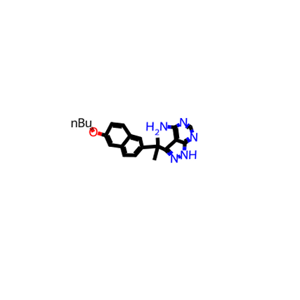 CCCCOc1ccc2cc(C(C)(C)c3n[nH]c4ncnc(N)c34)ccc2c1